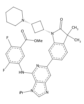 COC(=O)c1cc(Nc2nc(-c3ccc4c(c3)N([C@H]3C[C@@H](N5CCCCC5)C3)C(=O)C4(C)C)cc3ncn(C(C)C)c23)c(F)cc1F